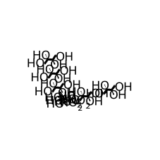 O=[N+]([O-])O.O=[N+]([O-])O.O=[N+]([O-])O.O=[N+]([O-])O.OC[C@@H](O)[C@@H](O)CO.OC[C@@H](O)[C@@H](O)CO.OC[C@@H](O)[C@@H](O)CO.OC[C@@H](O)[C@@H](O)CO.OC[C@@H](O)[C@@H](O)CO